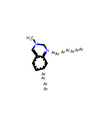 CN1C=c2ccccc2=NC1.[Ar].[Ar].[Ar].[Ar].[Ar].[Ar].[Ar].[Ar].[Ar].[Ar].[Ar]